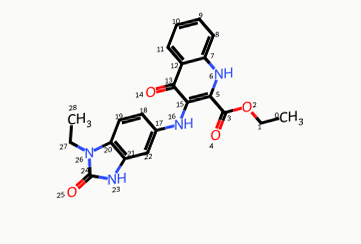 CCOC(=O)c1[nH]c2ccccc2c(=O)c1Nc1ccc2c(c1)[nH]c(=O)n2CC